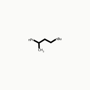 [CH2]CCCCCC(C)CC[CH2]